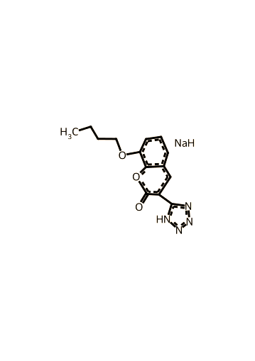 CCCCOc1cccc2cc(-c3nnn[nH]3)c(=O)oc12.[NaH]